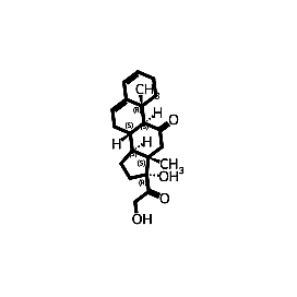 C[C@]12CCC=CC1=CC[C@@H]1[C@@H]2C(=O)C[C@@]2(C)[C@H]1CC[C@]2(O)C(=O)CO